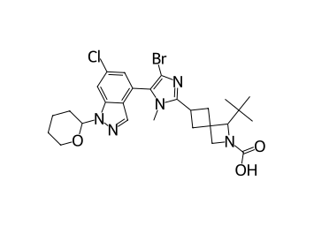 Cn1c(C2CC3(C2)CN(C(=O)O)C3C(C)(C)C)nc(Br)c1-c1cc(Cl)cc2c1cnn2C1CCCCO1